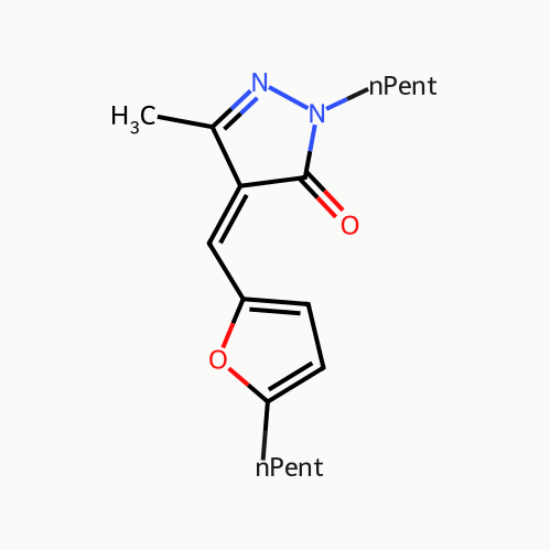 CCCCCc1ccc(/C=C2\C(=O)N(CCCCC)N=C2C)o1